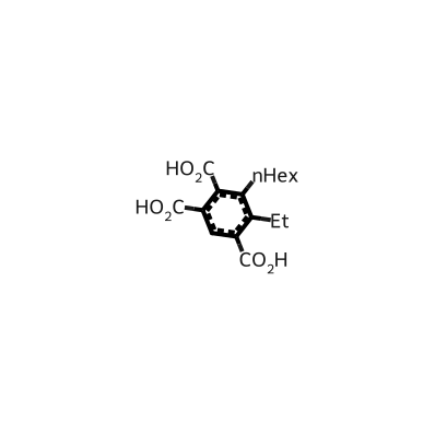 CCCCCCc1c(CC)c(C(=O)O)cc(C(=O)O)c1C(=O)O